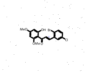 COc1cc(O)c(C(=O)/C=C/c2cc(Cl)ccc2Br)c(OC)c1